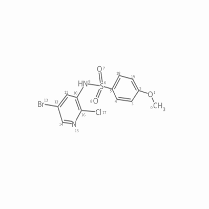 COc1ccc(S(=O)(=O)Nc2cc(Br)cnc2Cl)cc1